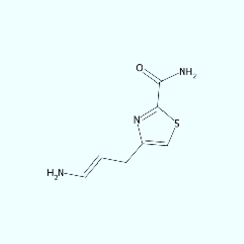 NC=CCc1csc(C(N)=O)n1